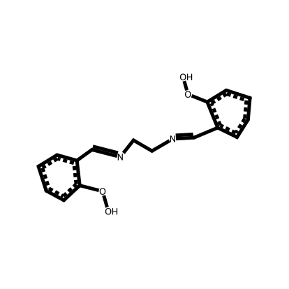 OOc1ccccc1C=NCCN=Cc1ccccc1OO